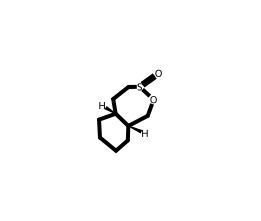 O=S1CC[C@H]2CCCC[C@H]2CO1